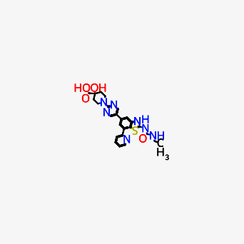 CCNC(=O)Nc1nc2cc(-c3cnc(N4CCC(O)(C(=O)O)CC4)nc3)cc(-c3ccccn3)c2s1